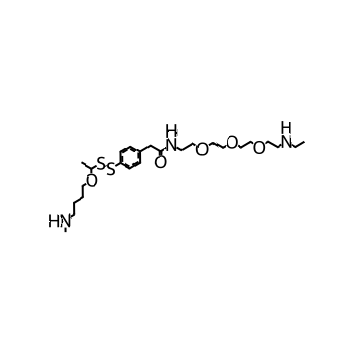 CCNCCOCCOCCOCCNC(=O)Cc1ccc(SSC(C)OCCCCNC)cc1